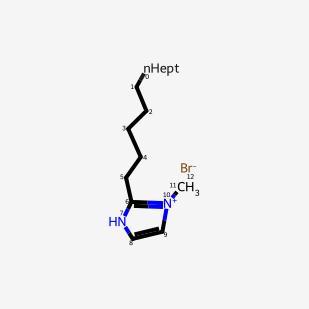 CCCCCCCCCCCCc1[nH]cc[n+]1C.[Br-]